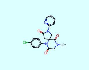 CC(C)N1CC(=O)N(c2ccc(Cl)cc2)C2(CC(=O)N(c3ccccn3)C2)C1=O